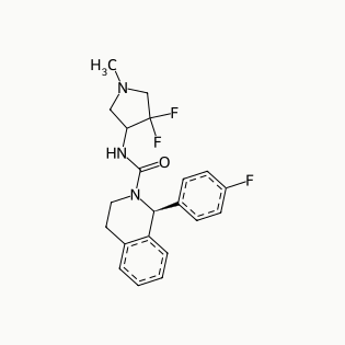 CN1CC(NC(=O)N2CCc3ccccc3[C@@H]2c2ccc(F)cc2)C(F)(F)C1